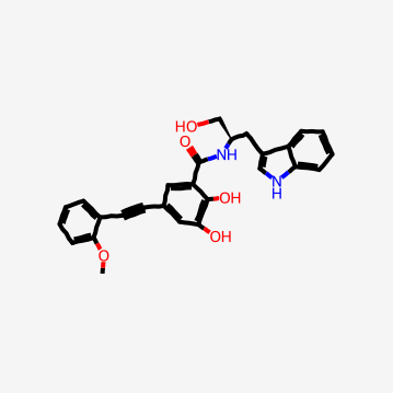 COc1ccccc1C#Cc1cc(O)c(O)c(C(=O)N[C@@H](CO)Cc2c[nH]c3ccccc23)c1